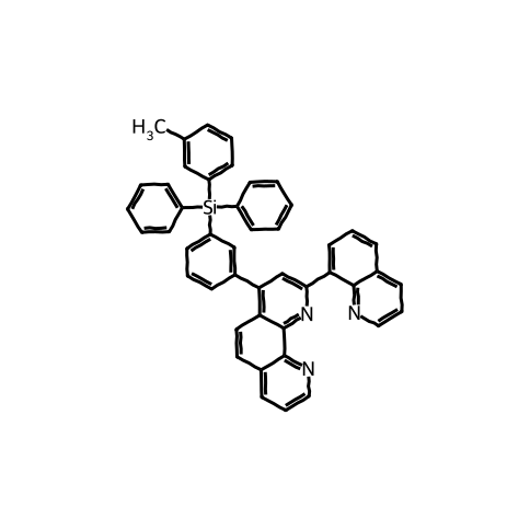 Cc1cccc([Si](c2ccccc2)(c2ccccc2)c2cccc(-c3cc(-c4cccc5cccnc45)nc4c3ccc3cccnc34)c2)c1